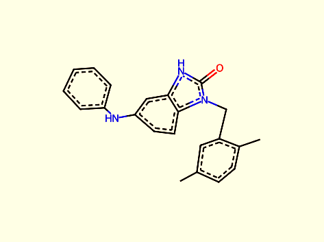 Cc1ccc(C)c(Cn2c(=O)[nH]c3cc(Nc4ccccc4)ccc32)c1